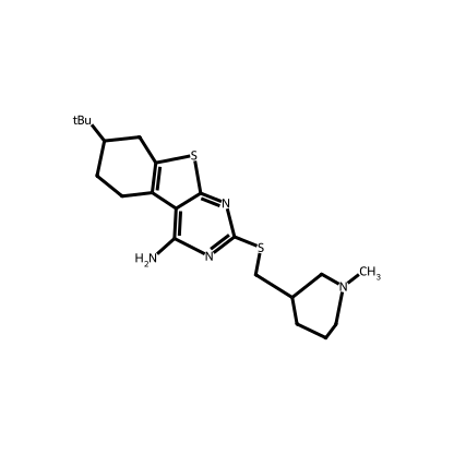 CN1CCCC(CSc2nc(N)c3c4c(sc3n2)CC(C(C)(C)C)CC4)C1